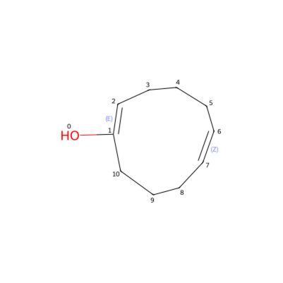 O/C1=C/CCC/C=C\CCC1